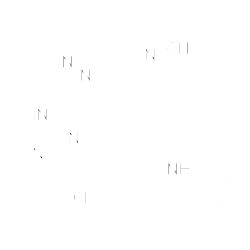 Cc1cnc(Nc2cnn(C3CCN(C)CC3)c2)nc1-c1ccc(NCC2CC2)cc1